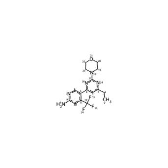 CCc1cc(-c2cnc(N)cc2C(F)(F)F)nc(N2CCOCC2)n1